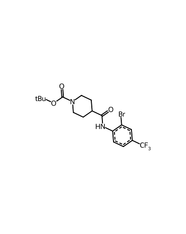 CC(C)(C)OC(=O)N1CCC(C(=O)Nc2ccc(C(F)(F)F)cc2Br)CC1